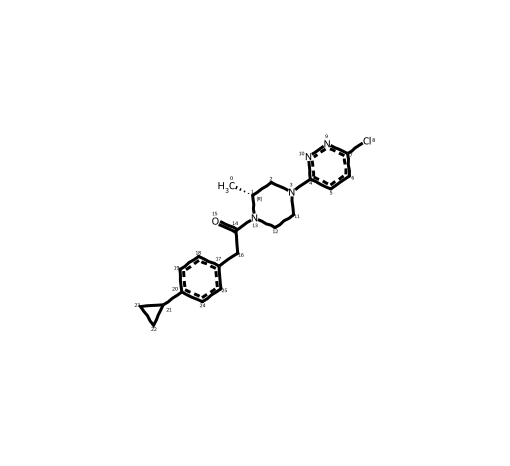 C[C@@H]1CN(c2ccc(Cl)nn2)CCN1C(=O)Cc1ccc(C2CC2)cc1